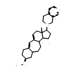 CC12CC=C3C=C4CCC(=NO)CC4CC[C@]3(O)C1CCC2N1CCc2ccncc2C1